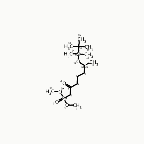 COP(=O)(CC(=O)CCC[C@H](C)O[Si](C)(C)C(C)(C)C)OC